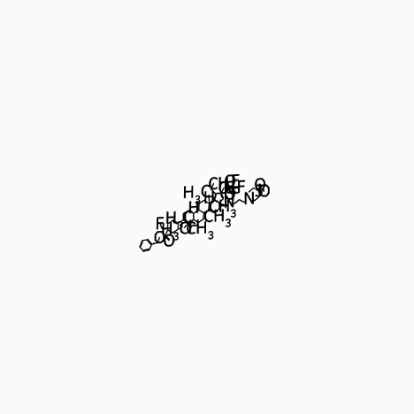 CC(C)C1=C2[C@H]3CC[C@@H]4[C@@]5(C)CC=C(C6=CC[C@](CF)(C(=O)OCc7ccccc7)CC6)C(C)(C)[C@@H]5CC[C@@]4(C)[C@]3(C)CC[C@@]2(CNCCCN2CCS(=O)(=O)CC2)C=C1OS(=O)(=O)C(F)(F)F